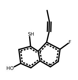 CC#Cc1c(F)ccc2cc(O)cc(S)c12